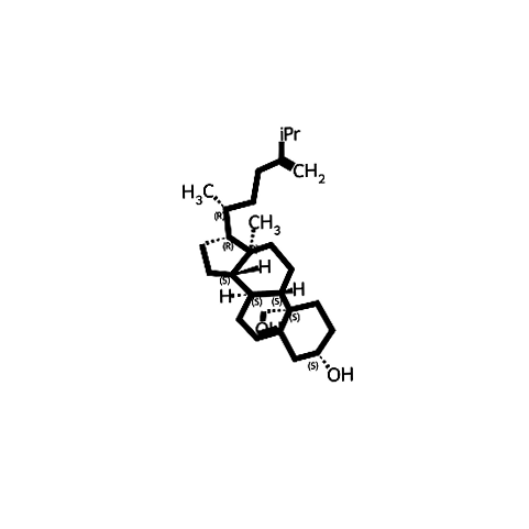 C=C(CC[C@@H](C)[C@H]1CC[C@H]2[C@@H]3CC=C4C[C@@H](O)CC[C@]4(CO)[C@H]3CC[C@]12C)C(C)C